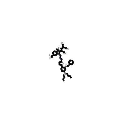 CCCCN(CCCC)c1ccc(-c2ccc(/C=C/C=C/C3=C(C#N)C(=C(C#N)C#N)OC3(C)c3ccc(C(F)(F)F)cc3)s2)c(OCc2ccccc2)c1